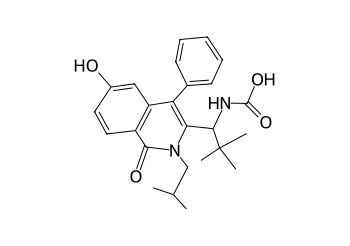 CC(C)Cn1c(C(NC(=O)O)C(C)(C)C)c(-c2ccccc2)c2cc(O)ccc2c1=O